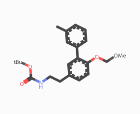 COCOc1ccc(CCNC(=O)OC(C)(C)C)cc1-c1cccc(C)c1